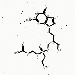 CC(=O)OCOP(=O)(OCOC(=O)C(C)(C)C)OC[C@@H](CO)CCn1cnc2c(=O)[nH]c(N)nc21